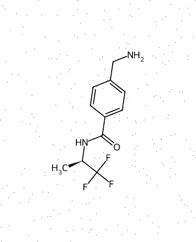 C[C@@H](NC(=O)c1ccc(CN)cc1)C(F)(F)F